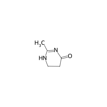 CC1=NC(=O)CCN1